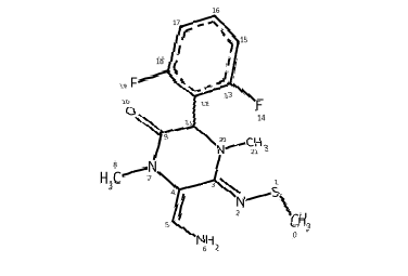 CSN=C1/C(=C\N)N(C)C(=O)C(c2c(F)cccc2F)N1C